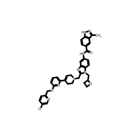 Cc1n[nH]c2ccc(C(=O)Nc3ccc4c(c3)nc(CN3CC=C(c5cccc(OCc6ccc(Cl)cn6)n5)CC3)n4CC3CCO3)cc12